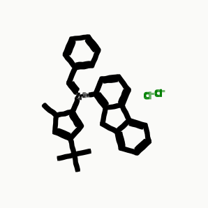 CC1C=C(C(C)(C)C)C=[C]1/[Zr+2](=[CH]/c1ccccc1)[c]1cccc2c1Cc1ccccc1-2.[Cl-].[Cl-]